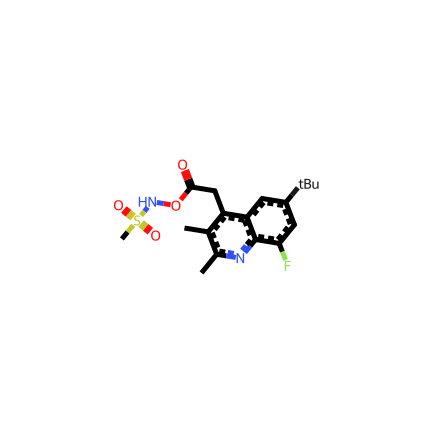 Cc1nc2c(F)cc(C(C)(C)C)cc2c(CC(=O)ONS(C)(=O)=O)c1C